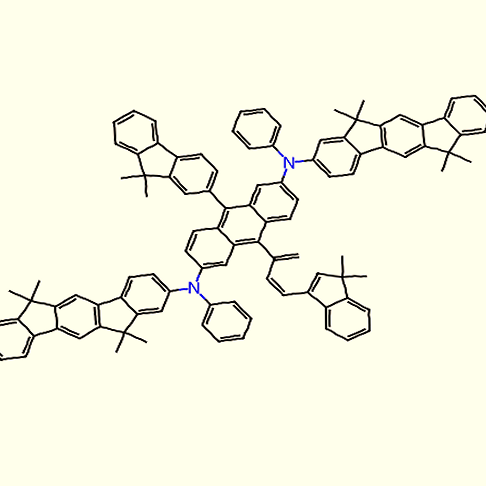 C=C(/C=C\C1=CC(C)(C)c2ccccc21)c1c2cc(N(c3ccccc3)c3ccc4c(c3)C(C)(C)c3cc5c(cc3-4)C(C)(C)c3ccccc3-5)ccc2c(-c2ccc3c(c2)C(C)(C)c2ccccc2-3)c2cc(N(c3ccccc3)c3ccc4c(c3)C(C)(C)c3cc5c(cc3-4)C(C)(C)c3ccccc3-5)ccc12